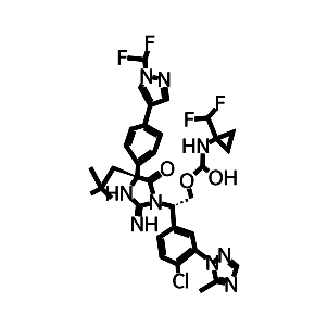 Cc1ncnn1-c1cc([C@@H](COC(O)NC2(C(F)F)CC2)N2C(=N)N[C@](CC(C)(C)C)(c3ccc(-c4cnn(C(F)F)c4)cc3)C2=O)ccc1Cl